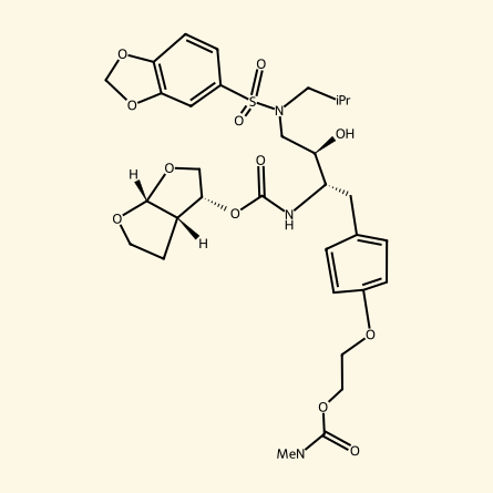 CNC(=O)OCCOc1ccc(C[C@H](NC(=O)O[C@H]2CO[C@H]3OCC[C@H]32)[C@H](O)CN(CC(C)C)S(=O)(=O)c2ccc3c(c2)OCO3)cc1